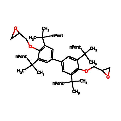 CCCCCC(C)(C)c1cc(-c2cc(C(C)(C)CCCCC)c(OCC3CO3)c(C(C)(C)CCCCC)c2)cc(C(C)(C)CCCCC)c1OCC1CO1